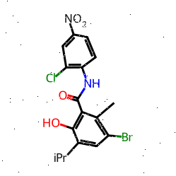 Cc1c(Br)cc(C(C)C)c(O)c1C(=O)Nc1ccc([N+](=O)[O-])cc1Cl